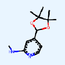 CNc1cc(C2OC(C)(C)C(C)(C)O2)ccn1